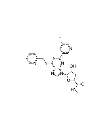 CNC(=O)[C@@H]1C[C@@H](O)[C@H](n2cnc3c(NCc4ccccn4)nc(-c4cncc(F)c4)nc32)O1